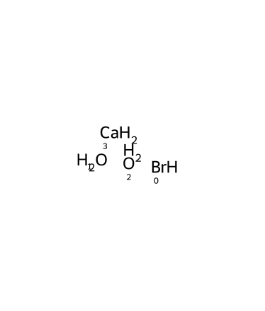 Br.O.O.[CaH2]